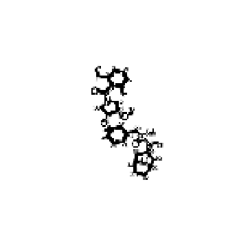 CCc1cccc(C)c1C(=O)N1C[C@@H](OC)[C@H](Oc2cccc(CS(=O)(=O)N(C)C3CC4CCC(C3)O4)c2)C1